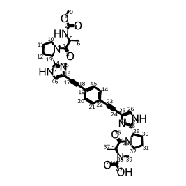 COC(=O)N[C@@H](C)C(=O)N1CCC[C@H]1c1nc(C#Cc2ccc(C#Cc3c[nH]c([C@@H]4CCCN4C(=O)[C@H](C)N(C)C(=O)O)n3)cc2)c[nH]1